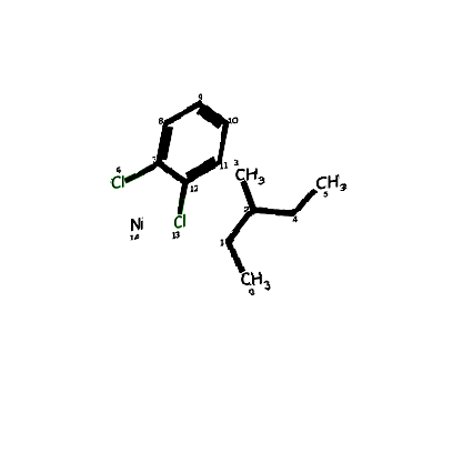 CCC(C)CC.Clc1ccccc1Cl.[Ni]